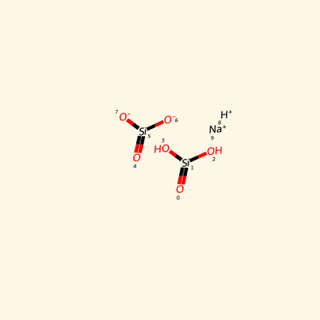 O=[Si](O)O.O=[Si]([O-])[O-].[H+].[Na+]